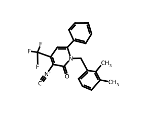 [C-]#[N+]c1c(C(F)(F)F)cc(-c2ccccc2)n(Cc2cccc(C)c2C)c1=O